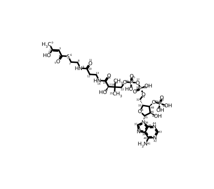 C/C(O)=C/C(=O)SCCNC(=O)CCNC(=O)[C@H](O)C(C)(C)COP(=O)(O)OP(=O)(O)OC[C@H]1O[C@@H](n2cnc3c(N)ncnc32)[C@H](O)[C@@H]1OP(=O)(O)O